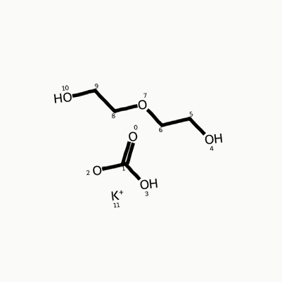 O=C([O-])O.OCCOCCO.[K+]